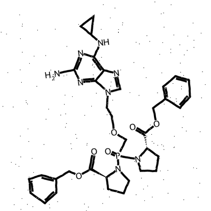 Nc1nc(NC2CC2)c2ncn(CCOCP(=O)(N3CCC[C@H]3C(=O)OCc3ccccc3)N3CCC[C@H]3C(=O)OCc3ccccc3)c2n1